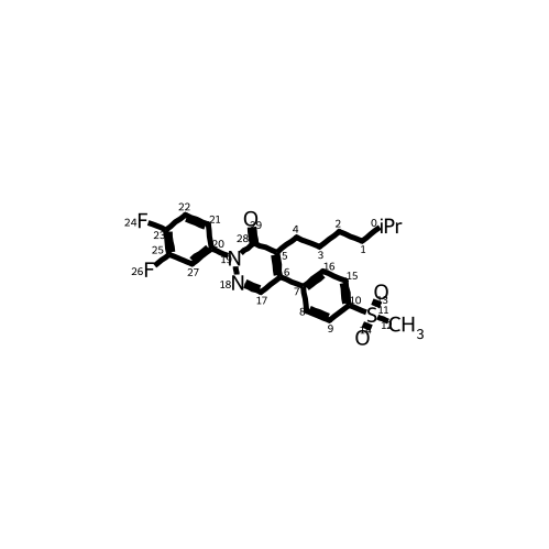 CC(C)CCCCc1c(-c2ccc(S(C)(=O)=O)cc2)cnn(-c2ccc(F)c(F)c2)c1=O